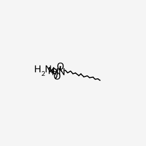 CCCCCCCCCCCCCCNC(=O)[C@@H]1CN(N)C[C@@H]1OC